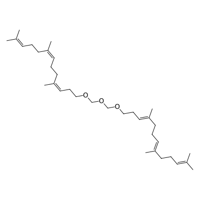 CC(C)=CCCC(C)=CCCC(C)=CCCOCOCOCCC=C(C)CCC=C(C)CCC=C(C)C